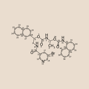 CC(NC(=O)OC(CNC(=O)c1cncc(Br)c1)c1ccc2ccccc2c1)OC(=O)Nc1cccc2ccccc12